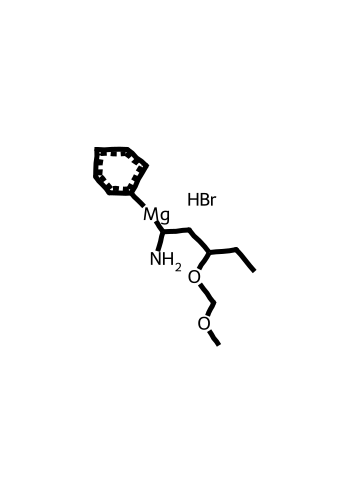 Br.CCC(C[CH](N)[Mg][c]1ccccc1)OCOC